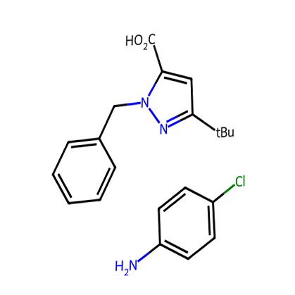 CC(C)(C)c1cc(C(=O)O)n(Cc2ccccc2)n1.Nc1ccc(Cl)cc1